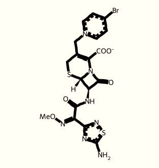 CO/N=C(\C(=O)N[C@@H]1C(=O)N2C(C(=O)[O-])=C(C[n+]3ccc(Br)cc3)CS[C@@H]12)c1nsc(N)n1